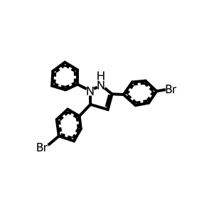 Brc1ccc(C2=CC(c3ccc(Br)cc3)N(c3ccccc3)N2)cc1